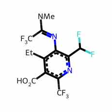 CCc1c(N=C(NC)C(F)(F)F)c(C(F)F)nc(C(F)(F)F)c1C(=O)O